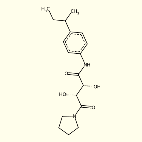 CCC(C)c1ccc(NC(=O)[C@H](O)[C@@H](O)C(=O)N2CCCC2)cc1